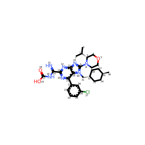 CC(C)[C@@H]1COCCN1c1nc2nc(C(=N)NC(=O)O)nc(-c3cccc(Cl)c3)c2n1C[C@H]1CC[C@H](C)CC1